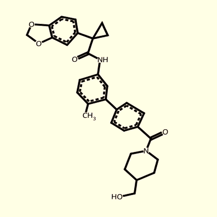 Cc1ccc(NC(=O)C2(c3ccc4c(c3)OCO4)CC2)cc1-c1ccc(C(=O)N2CCC(CO)CC2)cc1